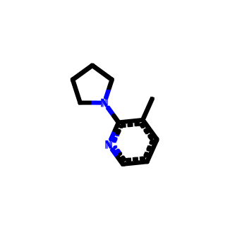 Cc1cccnc1N1CCCC1